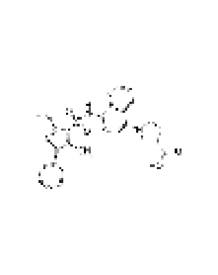 Cc1nn(-c2ccccc2)c(C)c1S(=O)(=O)Nc1ccc(N2CC[C@H](C(=O)O)C2)c2ccccc12